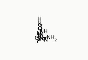 C=CCn1c(=O)c2cnc(Nc3ccc4c(c3)CCNC4)nc2n1-c1ccnc(CN)c1